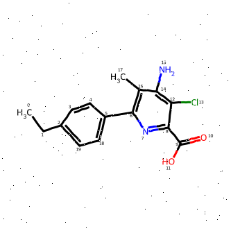 CCc1ccc(-c2nc(C(=O)O)c(Cl)c(N)c2C)cc1